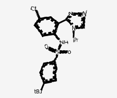 CC(C)n1cnnc1-c1cc(Cl)ccc1NS(=O)(=O)c1ccc(C(C)(C)C)cc1